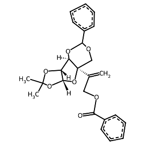 C=C(COC(=O)c1ccccc1)[C@@]12COC(c3ccccc3)O[C@@H]1[C@H]1OC(C)(C)O[C@H]1O2